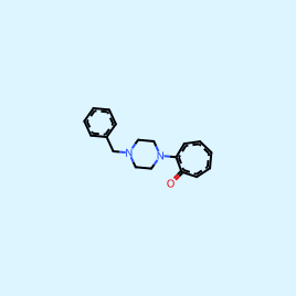 O=c1cccccc1N1CCN(Cc2ccccc2)CC1